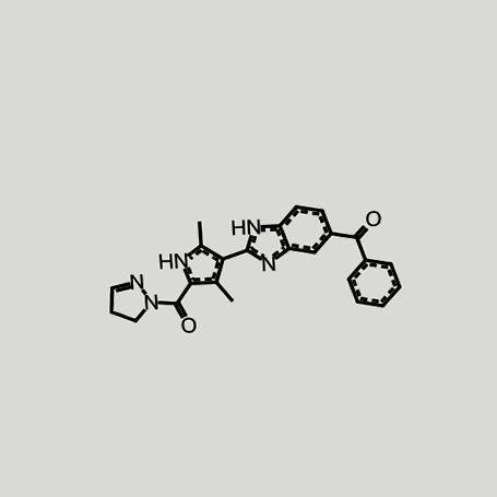 Cc1[nH]c(C(=O)N2CCC=N2)c(C)c1-c1nc2cc(C(=O)c3ccccc3)ccc2[nH]1